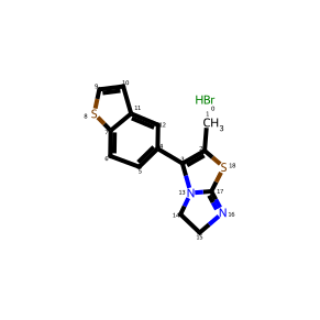 Br.CC1=C(c2ccc3sccc3c2)N2CCN=C2S1